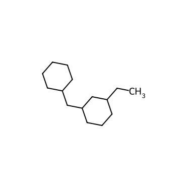 CCC1CCCC(CC2CCCCC2)C1